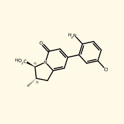 C[C@H]1Cc2cc(-c3cc(Cl)ccc3N)cc(=O)n2[C@@H]1C(=O)O